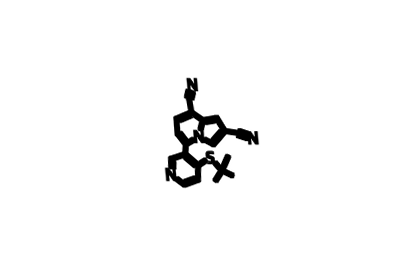 CC(C)(C)Sc1ccncc1-c1ccc(C#N)c2cc(C#N)cn12